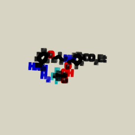 CCOC(=O)c1ccc(C(=O)NCCCOc2cccc(C(=N)N)c2)cc1.O=C(O)C(F)(F)F